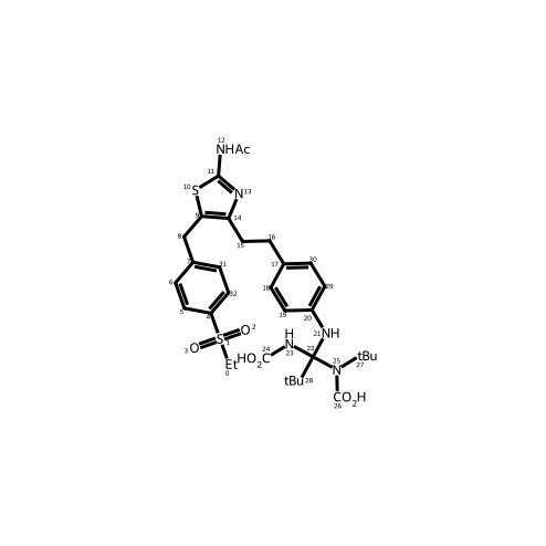 CCS(=O)(=O)c1ccc(Cc2sc(NC(C)=O)nc2CCc2ccc(NC(NC(=O)O)(N(C(=O)O)C(C)(C)C)C(C)(C)C)cc2)cc1